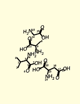 CC(C)C(N)C(=O)O.CC(N)C(=O)O.NC(CC(=O)O)C(=O)O.NCC(=O)O